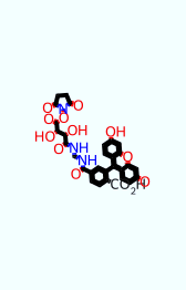 O=C(NCNC(=O)C(O)C(O)C(=O)ON1C(=O)CCC1=O)c1ccc(C(=O)O)c(-c2c3ccc(=O)cc-3oc3cc(O)ccc23)c1